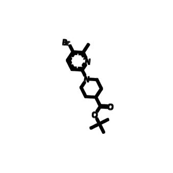 Cc1nc(N2CCC(C(=O)OC(C)(C)C)CC2)ccc1Br